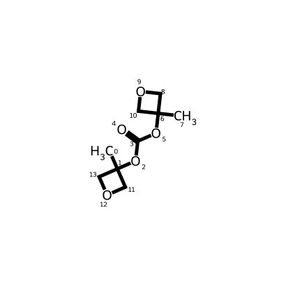 CC1(OC(=O)OC2(C)COC2)COC1